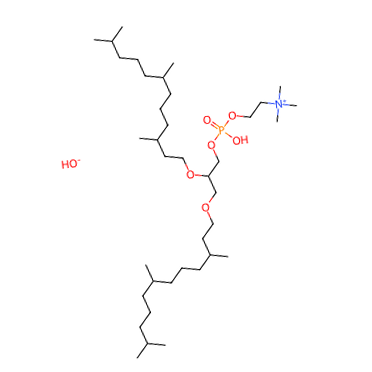 CC(C)CCCC(C)CCCC(C)CCOCC(COP(=O)(O)OCC[N+](C)(C)C)OCCC(C)CCCC(C)CCCC(C)C.[OH-]